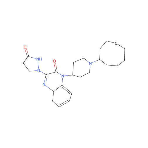 O=C1CCN(C2=NC3CC=CC=C3N(C3CCN(C4CCCCCCC4)CC3)C2=O)N1